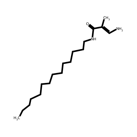 CCCCCCCCCCCCCCNC(=O)C(C)=CN